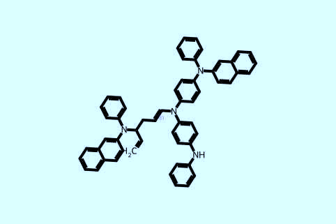 C=CC(C/C=C/N(c1ccc(Nc2ccccc2)cc1)c1ccc(N(c2ccccc2)c2ccc3ccccc3c2)cc1)N(c1ccccc1)c1ccc2ccccc2c1